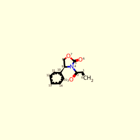 C=CC(=O)N1C(=O)OC[C@@H]1c1ccccc1